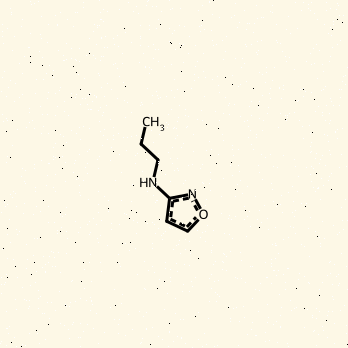 CCCNc1ccon1